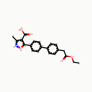 CCOC(=O)Cc1ccc(-c2ccc(-c3onc(C)c3C(=O)O)cc2)cc1